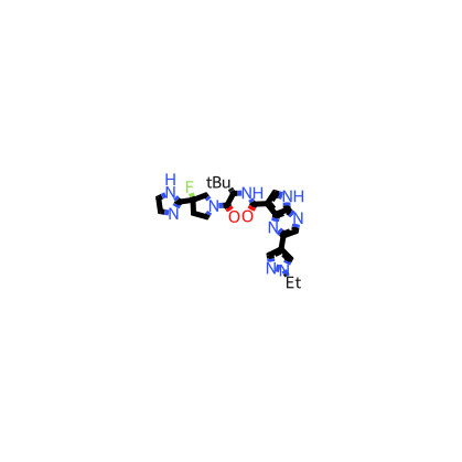 CCn1cc(-c2cnc3[nH]cc(C(=O)NC(C(=O)N4CCC(F)(C5=NCCN5)C4)C(C)(C)C)c3n2)cn1